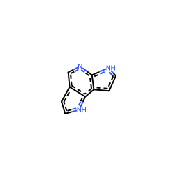 [c]1nc2[nH]ccc2c2[nH]ccc12